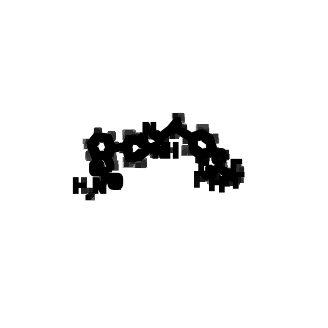 NS(=O)(=O)Cc1ccccc1-c1ccc2[nH]c(C3CC3c3ccc(OC(C(F)(F)F)C(F)(F)F)cc3)nc2c1